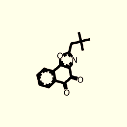 CC(C)(C)Cc1nc2c(o1)-c1ccccc1C(=O)C2=O